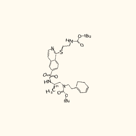 C[C@H](CN(CCC1=CC=CCC1)C(=O)OC(C)(C)C)NS(=O)(=O)c1ccc2c(SCCNC(=O)OC(C)(C)C)nccc2c1